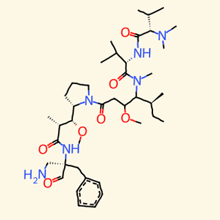 CC[C@H](C)C(C(CC(=O)N1CCC[C@H]1[C@H](OC)[C@@H](C)C(=O)N[C@@](C=O)(CN)Cc1ccccc1)OC)N(C)C(=O)[C@@H](NC(=O)[C@H](C(C)C)N(C)C)C(C)C